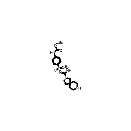 CCN/C(=N\S(=O)(=O)c1ccc(NC(=O)OC(C)(C)C)cc1)N1CC2(C=N1)CCNCC2